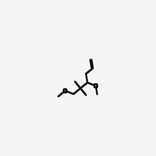 C=CCC(OC)C(C)(C)COC